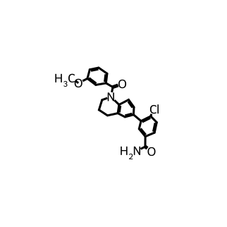 COc1cccc(C(=O)N2CCCc3cc(-c4cc(C(N)=O)ccc4Cl)ccc32)c1